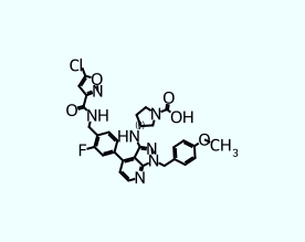 COc1ccc(Cn2nc(N[C@@H]3CCN(C(=O)O)C3)c3c(-c4ccc(CNC(=O)c5cc(Cl)on5)c(F)c4)ccnc32)cc1